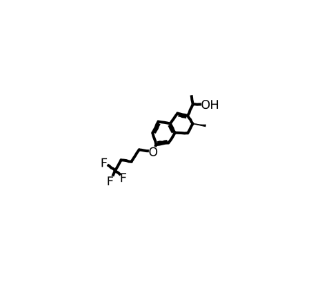 CC(O)C1=Cc2ccc(OCCCC(F)(F)F)cc2C[C@@H]1C